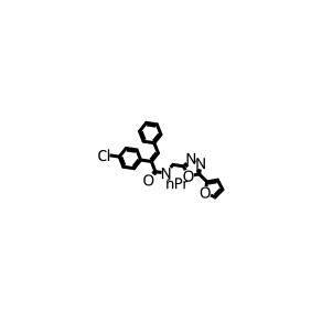 CCCN(Cc1nnc(-c2ccco2)o1)C(=O)/C(=C/c1ccccc1)c1ccc(Cl)cc1